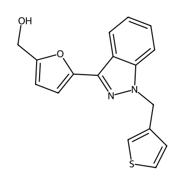 OCc1ccc(-c2nn(Cc3ccsc3)c3ccccc23)o1